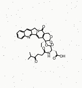 CC[C@@]1(OC(=O)[C@H](CC(=O)O)NC(=O)CCC(=O)C(C)C)C(=O)OCc2c1cc1n(c2=O)Cc2cc3ccccc3nc2-1